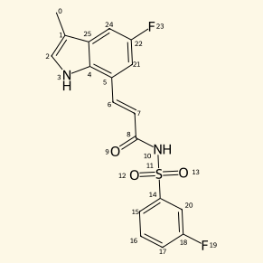 Cc1c[nH]c2c(C=CC(=O)NS(=O)(=O)c3cccc(F)c3)cc(F)cc12